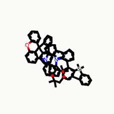 CC1(C)CCC(C)(C)c2cc(N(c3cccc4c3C3(c5ccccc5O4)c4ccccc4-c4ccccc43)c3cccc4c5cccc(-c6cccc7c6[Si](C)(C)c6ccccc6-7)c5n(-c5ccccc5)c34)ccc21